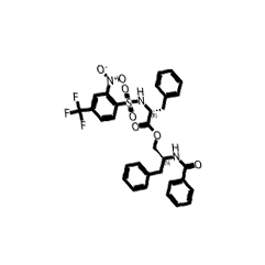 O=C(N[C@H](COC(=O)[C@@H](Cc1ccccc1)NS(=O)(=O)c1ccc(C(F)(F)F)cc1[N+](=O)[O-])Cc1ccccc1)c1ccccc1